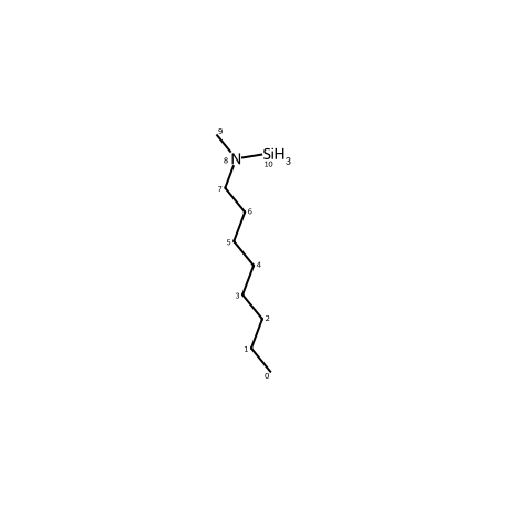 CCCCCCCCN(C)[SiH3]